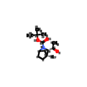 CC(=O)[C@@H]1[C@H]2CCC(C2)N1C(=O)OC(C)(C)C